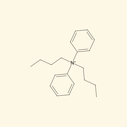 CCCC[N+](CCCC)(c1ccccc1)c1ccccc1